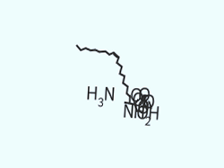 CCCCCCCC/C=C\CCCCCCCC(=O)C(C)(N)C(CO)OS(=O)(=O)OC.N